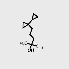 CC(C)(O)CCCC1(C2CC2)CC1